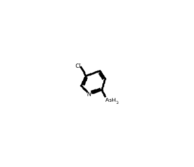 Clc1ccc([AsH2])nc1